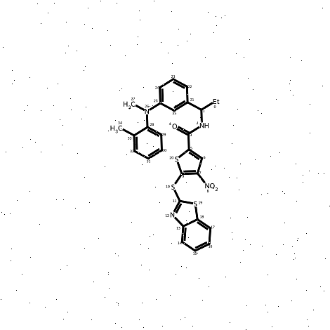 CCC(NC(=O)c1cc([N+](=O)[O-])c(Sc2nc3ccccc3s2)s1)c1cccc(N(C)c2ccccc2C)c1